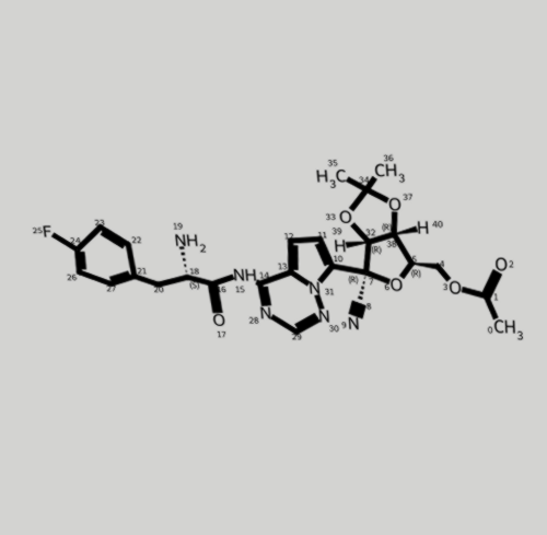 CC(=O)OC[C@H]1O[C@@](C#N)(c2ccc3c(NC(=O)[C@@H](N)Cc4ccc(F)cc4)ncnn23)[C@@H]2OC(C)(C)O[C@@H]21